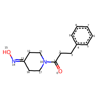 O=C([CH]Cc1ccccc1)N1CCC(=NO)CC1